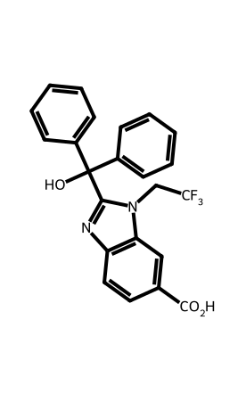 O=C(O)c1ccc2nc(C(O)(c3ccccc3)c3ccccc3)n(CC(F)(F)F)c2c1